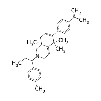 C=C(C)c1ccc(C2=CC[C@]3(C)CN(C(CC)c4ccc(C)cc4)CC=C3C2(C)C)cc1